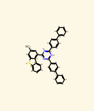 N#Cc1cc(-c2nc(-c3ccc(-c4ccccc4)cc3)nc(-c3ccc(-c4ccccc4)cc3)n2)c2c(c1)sc1ccccc12